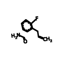 C=CCc1ccccc1F.NC=O